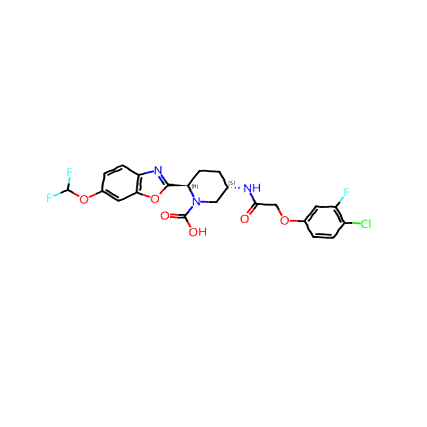 O=C(COc1ccc(Cl)c(F)c1)N[C@H]1CC[C@H](c2nc3ccc(OC(F)F)cc3o2)N(C(=O)O)C1